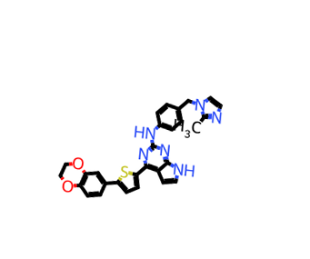 Cc1nccn1Cc1ccc(Nc2nc(-c3ccc(-c4ccc5c(c4)OCCO5)s3)c3cc[nH]c3n2)cc1